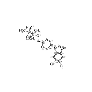 CC(C)(C)[Si](C)(C)OC[C@H]1C=C[C@H](n2cnc3cc(Cl)c(Cl)cc32)CO1